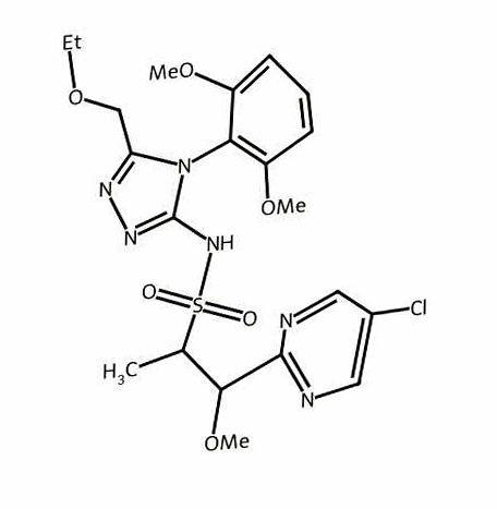 CCOCc1nnc(NS(=O)(=O)C(C)C(OC)c2ncc(Cl)cn2)n1-c1c(OC)cccc1OC